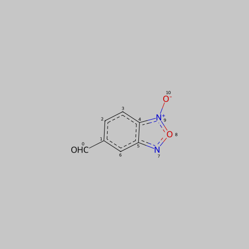 O=Cc1ccc2c(c1)no[n+]2[O-]